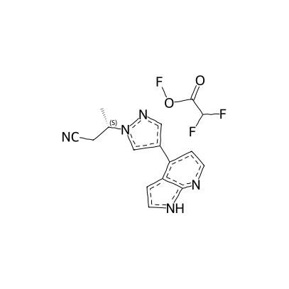 C[C@@H](CC#N)n1cc(-c2ccnc3[nH]ccc23)cn1.O=C(OF)C(F)F